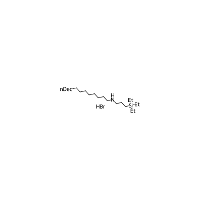 Br.CCCCCCCCCCCCCCCCCCNCCC[Si](CC)(CC)CC